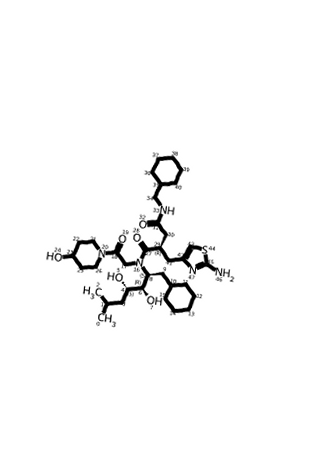 CC(C)C[C@H](O)[C@H](O)[C@H](CC1CCCCC1)N(CC(=O)N1CCC(O)CC1)C(=O)[C@@H](CC(=O)NCC1CCCCC1)Cc1csc(N)n1